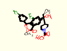 CCC(O)(c1cc(F)c(C(=O)c2ccc(Cl)cc2)c(C(=O)OC)c1)C1CCN(C(=O)O)CC1